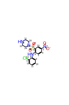 O=[N+]([O-])c1ccc(Nc2ccccc2Cl)c(S(=O)(=O)N2CCNCC2)c1